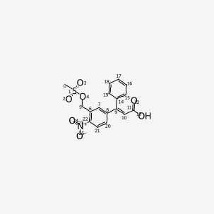 CS(=O)(=O)OCc1cc(C(=CC(=O)O)c2ccccc2)ccc1[N+](=O)[O-]